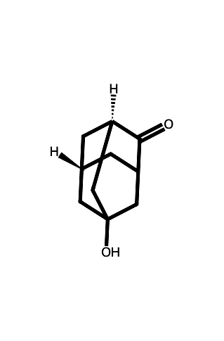 O=C1C2C[C@H]3C[C@@H]1CC(O)(C2)C3